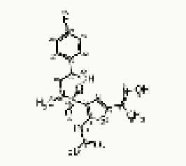 CCC(=O)Nc1sc(C(C)=NO)cc1S(=O)(=O)N(C)CC(O)c1ccc(F)cc1